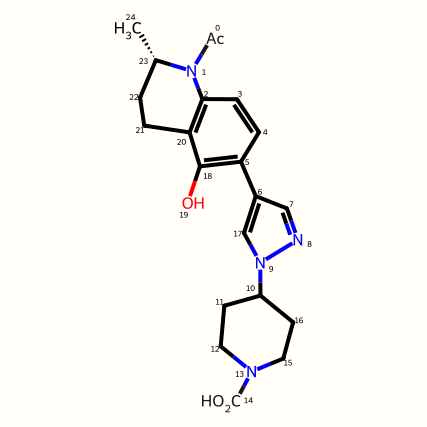 CC(=O)N1c2ccc(-c3cnn(C4CCN(C(=O)O)CC4)c3)c(O)c2CC[C@@H]1C